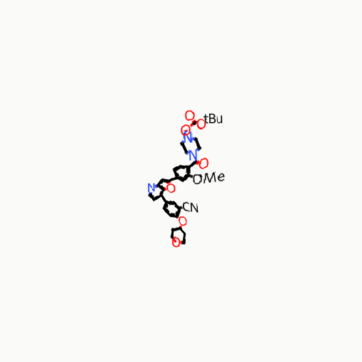 COc1cc(-c2cc3nccc(-c4ccc(OC5CCOCC5)c(C#N)c4)c3o2)ccc1C(=O)N1CCN(OC(=O)OC(C)(C)C)CC1